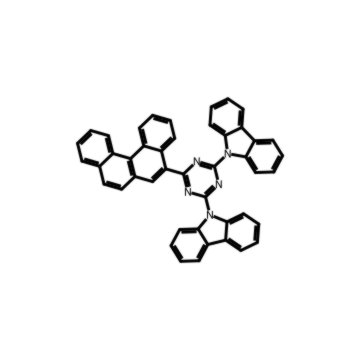 c1ccc2c(c1)ccc1cc(-c3nc(-n4c5ccccc5c5ccccc54)nc(-n4c5ccccc5c5ccccc54)n3)c3ccccc3c12